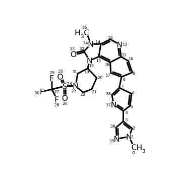 Cn1cc(-c2ccc(-c3ccc4ncc5c(c4c3)n(C3CCCN(S(=O)(=O)C(F)(F)F)C3)c(=O)n5C)cn2)cn1